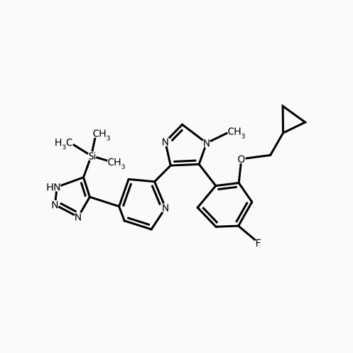 Cn1cnc(-c2cc(-c3nn[nH]c3[Si](C)(C)C)ccn2)c1-c1ccc(F)cc1OCC1CC1